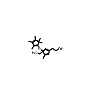 CC1=CC(CCO)=C[C]1(CO)[Ru][C]1=C(C)C(C)=C(C)C1(C)C